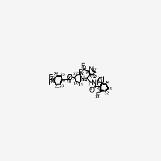 O=C(NCC(c1scnc1C(F)F)N1CCC(OCC2=CCC(F)(F)C=C2)CC1)c1c(F)cccc1Cl